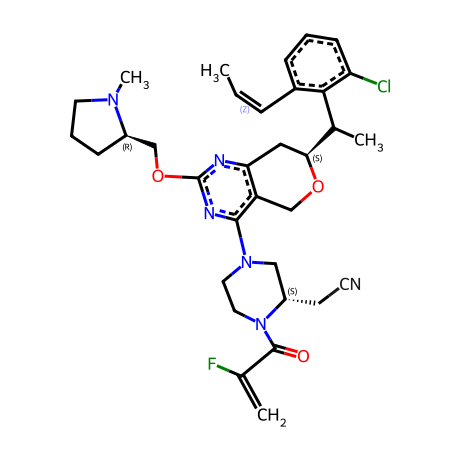 C=C(F)C(=O)N1CCN(c2nc(OC[C@H]3CCCN3C)nc3c2CO[C@H](C(C)c2c(Cl)cccc2/C=C\C)C3)C[C@@H]1CC#N